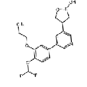 CCCOc1cc(-c2cncc(C3COB(O)C3)c2)ccc1OC(F)F